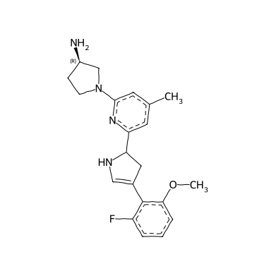 COc1cccc(F)c1C1=CNC(c2cc(C)cc(N3CC[C@@H](N)C3)n2)C1